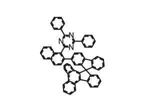 c1ccc(-c2nc(-c3ccccc3)nc(-c3c(-c4ccc5c(c4)C4(c6ccccc6-5)c5ccccc5-c5c4c4ccccc4c4ccccc54)ccc4ccccc34)n2)cc1